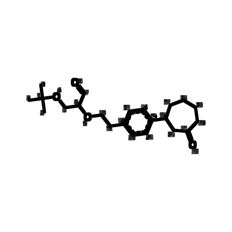 CC(C)(C)OCC(C=O)OCCc1ccc(C2CCCCC(=O)C2)cc1